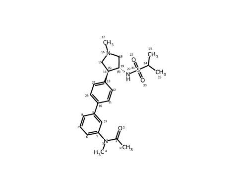 CC(=O)N(C)c1cccc(-c2ccc([C@H]3CN(C)C[C@@H]3NS(=O)(=O)C(C)C)cc2)c1